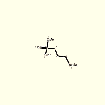 COP(=O)(SC)SCCNC(C)=O